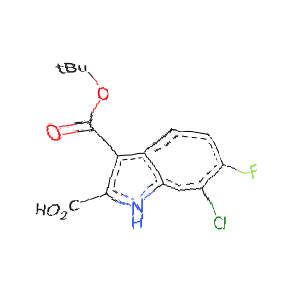 CC(C)(C)OC(=O)c1c(C(=O)O)[nH]c2c(Cl)c(F)ccc12